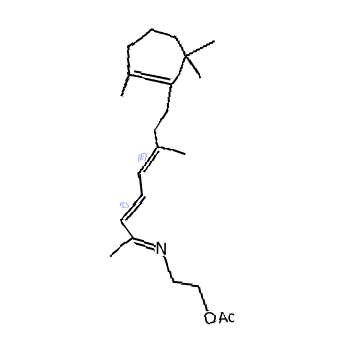 CC(=O)OCCN=C(C)/C=C/C=C(\C)CCC1=C(C)CCCC1(C)C